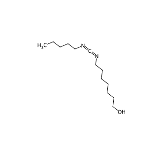 CCCCCN=C=NCCCCCCCO